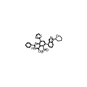 O=c1[nH]c(-c2ccccc2)nc2c(-c3nccs3)cc(-c3cccc4c3cnn4C3CCCCO3)c([N+](=O)[O-])c12